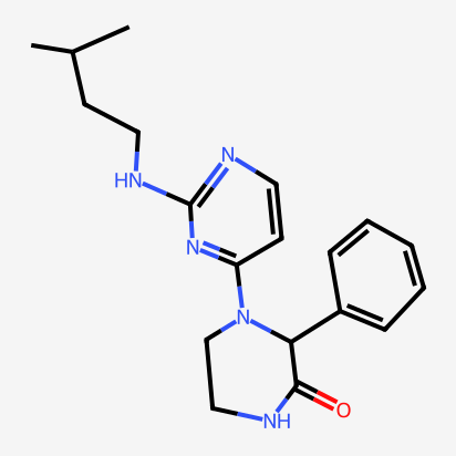 CC(C)CCNc1nccc(N2CCNC(=O)C2c2ccccc2)n1